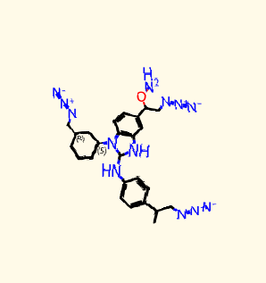 CC(CN=[N+]=[N-])c1ccc(NC2Nc3cc(C(CN=[N+]=[N-])ON)ccc3N2[C@H]2CCC[C@@H](CN=[N+]=[N-])C2)cc1